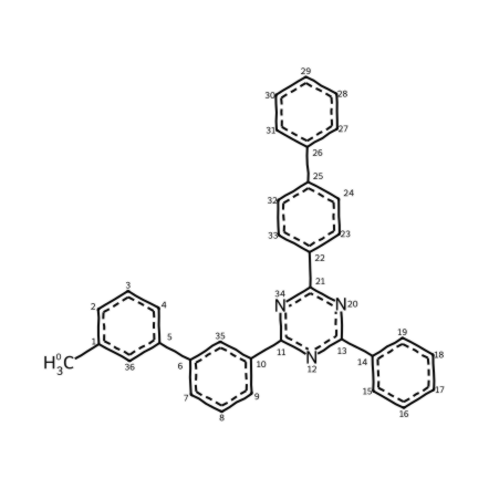 Cc1cccc(-c2cccc(-c3nc(-c4ccccc4)nc(-c4ccc(-c5ccccc5)cc4)n3)c2)c1